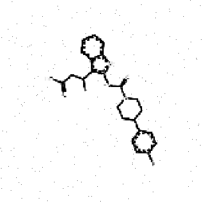 CC(CC(=O)O)c1c(NC(=O)N2CCC(c3ccc(F)cc3)CC2)[nH]c2ccccc12